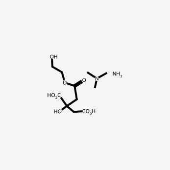 CN(C)C.N.O=C(O)CC(O)(CC(=O)OCCO)C(=O)O